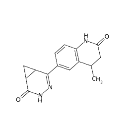 CC1CC(=O)Nc2ccc(C3=NNC(=O)C4CC34)cc21